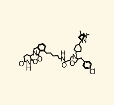 Cc1cc(C2CCC(N3CC(C(=O)NCCCCCc4cccc5c4C(=O)N(C4CCC(=O)NC4=O)C5)OCC3Cc3ccc(Cl)cc3)CC2)nn1C